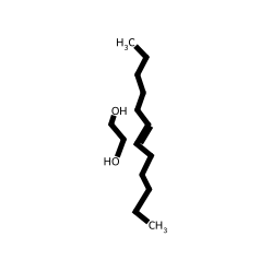 CCCCC/C=C/CCCCC.OCCO